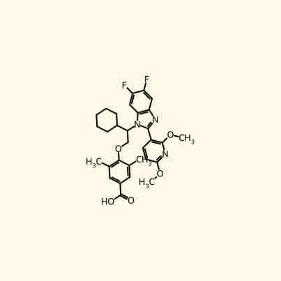 COc1ccc(-c2nc3cc(F)c(F)cc3n2C(COc2c(C)cc(C(=O)O)cc2C)C2CCCCC2)c(OC)n1